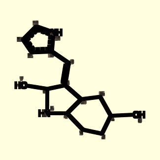 OC1CCC2NC(O)/C(=C\c3ccc[nH]3)C2C1